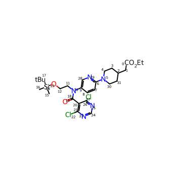 CCOC(=O)CC1CCN(c2ccc(N(CCO[Si](C)(C)C(C)(C)C)C(=O)c3c(Cl)ncnc3Cl)cn2)CC1